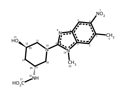 Cc1cc2c(cc1[N+](=O)[O-])nc(N1C[C@H](O)C[C@@H](NC(=O)O)C1)n2C